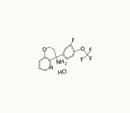 Cl.NC1(c2ccc(OC(F)(F)F)c(F)c2)CCOc2cccnc21